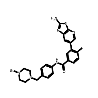 CCN1CCN(Cc2ccc(NC(=O)c3ccc(C)c(-c4cnc5sc(N)nc5c4)c3)cc2)CC1